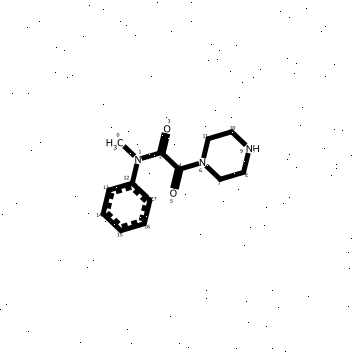 CN(C(=O)C(=O)N1CCNCC1)c1ccccc1